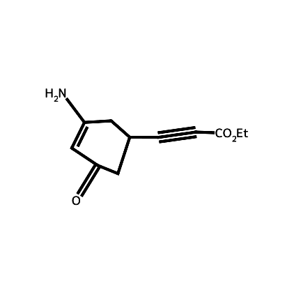 CCOC(=O)C#CC1CC(=O)C=C(N)C1